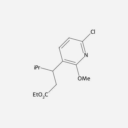 CCOC(=O)CC(c1ccc(Cl)nc1OC)C(C)C